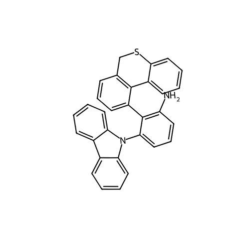 Nc1cccc(-n2c3ccccc3c3ccccc32)c1-c1cccc2c1-c1ccccc1SC2